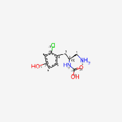 NC[C@H](Cc1ccc(O)cc1Cl)NC(=O)O